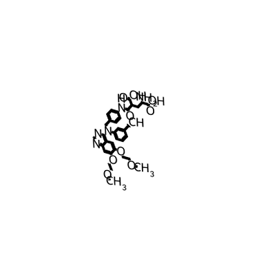 C#Cc1cccc(N(Cc2ccc(NC(=O)C(C[C@H](N)C(=O)O)C(=O)O)cc2)c2ncnc3cc(OCCOC)c(OCCOC)cc23)c1